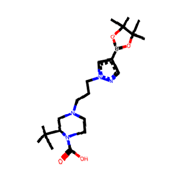 CC(C)(C)C1CN(CCCn2cc(B3OC(C)(C)C(C)(C)O3)cn2)CCN1C(=O)O